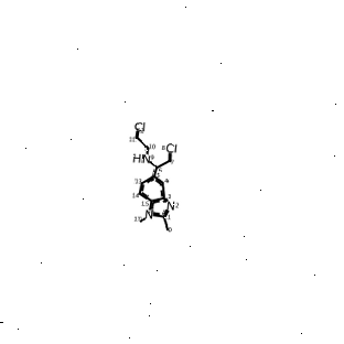 Cc1nc2cc(C(CCl)NCCCl)ccc2n1C